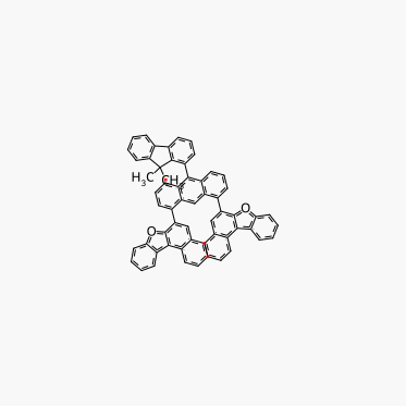 CC1(C)c2ccccc2-c2cccc(-c3c4cccc(-c5cc6ccccc6c6c5oc5ccccc56)c4cc4c(-c5cc6ccccc6c6c5oc5ccccc56)cccc34)c21